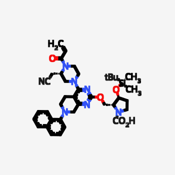 C=CC(=O)N1CCN(c2nc(OC[C@@H]3[C@@H](O[Si](C)(C)C(C)(C)C)CCN3C(=O)O)nc3c2CCN(c2cccc4ccccc24)C3)C[C@@H]1CC#N